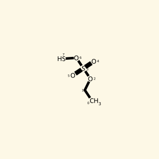 CCOS(=O)(=O)OS